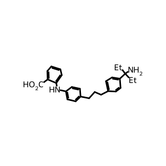 CCC(N)(CC)c1ccc(CCCc2ccc(Nc3ccccc3C(=O)O)cc2)cc1